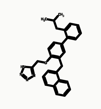 CC(C)Cc1ccccc1-c1ccc(OCc2nnn[nH]2)c(Cc2cccc3ccccc23)c1